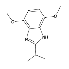 COc1ccc(OC)c2[nH]c(C(C)C)nc12